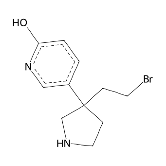 Oc1ccc(C2(CCBr)CCNC2)cn1